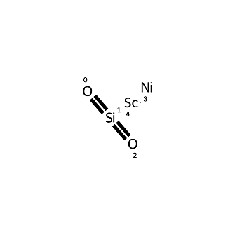 O=[Si]=O.[Ni].[Sc]